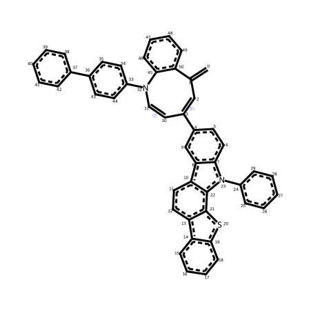 C=C1/C=C(c2ccc3c(c2)c2ccc4c5ccccc5sc4c2n3-c2ccccc2)\C=C/N(c2ccc(-c3ccccc3)cc2)c2ccccc21